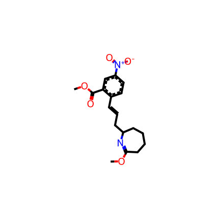 COC(=O)c1cc([N+](=O)[O-])ccc1C=CCC1CCCCC(OC)=N1